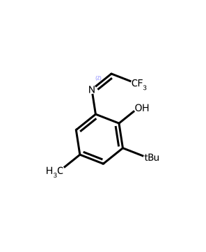 Cc1cc(/N=C\C(F)(F)F)c(O)c(C(C)(C)C)c1